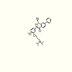 COc1ccc(NC(=O)c2ccc(-c3ccccc3)cc2CC#N)cc1OCCCN(C(C)C)C(C)C